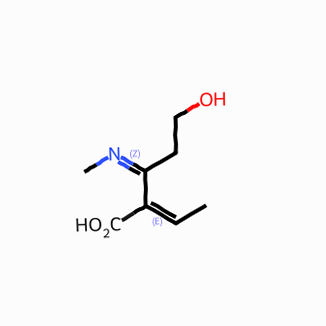 C/C=C(C(=O)O)\C(CCO)=N/C